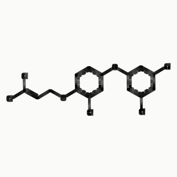 ClC(Cl)=CCOc1ccc(Oc2cc(Cl)cc(Cl)c2)cc1Cl